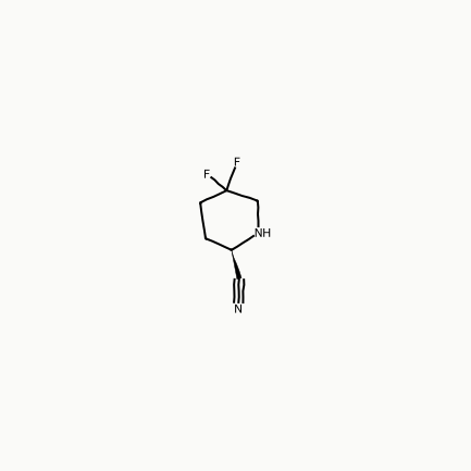 N#C[C@H]1CCC(F)(F)CN1